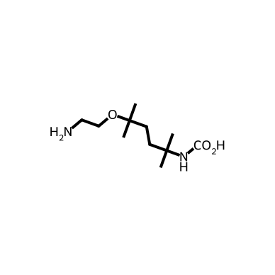 CC(C)(CCC(C)(C)OCCN)NC(=O)O